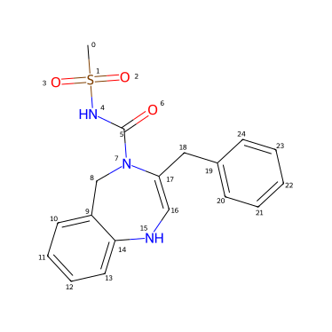 CS(=O)(=O)NC(=O)N1Cc2ccccc2NC=C1Cc1ccccc1